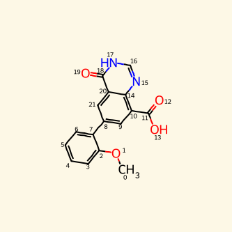 COc1ccccc1-c1cc(C(=O)O)c2nc[nH]c(=O)c2c1